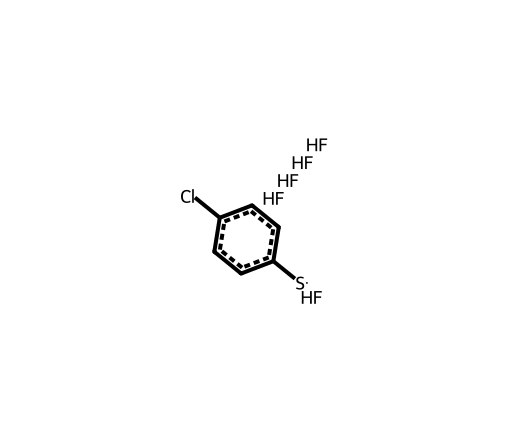 F.F.F.F.F.[S]c1ccc(Cl)cc1